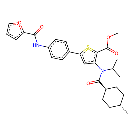 COC(=O)c1sc(-c2ccc(NC(=O)c3ccco3)cc2)cc1N(C(=O)[C@H]1CC[C@H](C)CC1)C(C)C